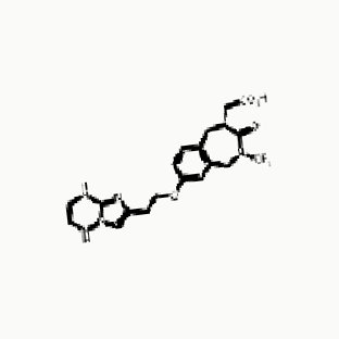 O=C(O)C[C@@H]1Cc2ccc(OCCc3cn4c(n3)NCCN4)cc2CN(C(F)(F)F)C1=O